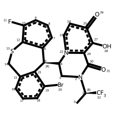 C[C@@H](N1CC([C@@H]2c3cccc(F)c3SCc3cccc(Br)c32)n2ccc(=O)c(O)c2C1=O)C(F)(F)F